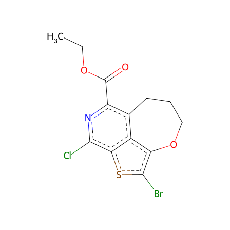 CCOC(=O)c1nc(Cl)c2sc(Br)c3c2c1CCCO3